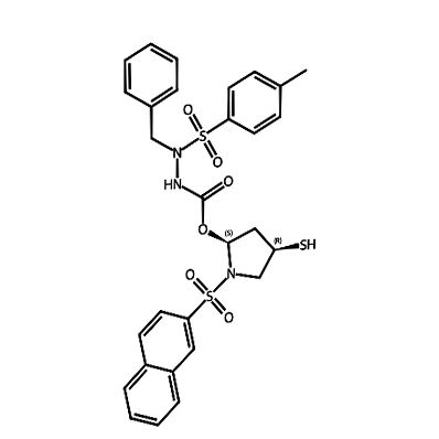 Cc1ccc(S(=O)(=O)N(Cc2ccccc2)NC(=O)O[C@H]2C[C@@H](S)CN2S(=O)(=O)c2ccc3ccccc3c2)cc1